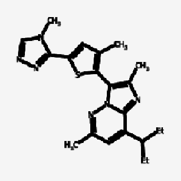 CCC(CC)c1cc(C)nn2c(-c3sc(-c4nncn4C)cc3C)c(C)nc12